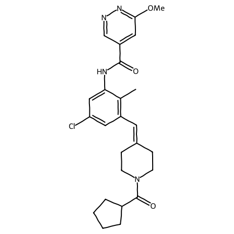 COc1cc(C(=O)Nc2cc(Cl)cc(C=C3CCN(C(=O)C4CCCC4)CC3)c2C)cnn1